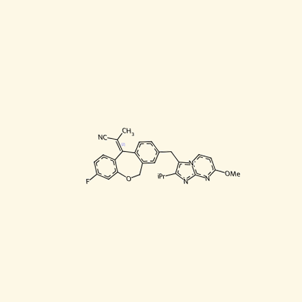 COc1ccn2c(Cc3ccc4c(c3)COc3cc(F)ccc3/C4=C(/C)C#N)c(C(C)C)nc2n1